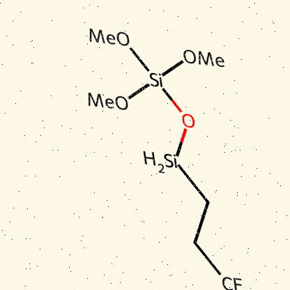 CO[Si](OC)(OC)O[SiH2]CCC(F)(F)F